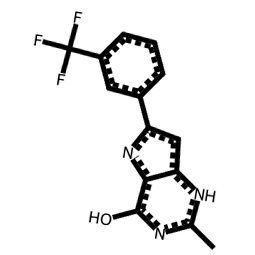 Cc1nc(O)c2nc(-c3cccc(C(F)(F)F)c3)cc-2[nH]1